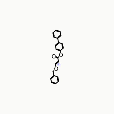 O=C(/C=C/OCc1ccccc1)Oc1ccc(-c2ccccc2)cc1